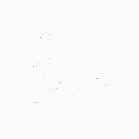 CSc1cc(NS(=O)(=O)N2CCC2)nc(SCc2cccc(F)c2F)n1